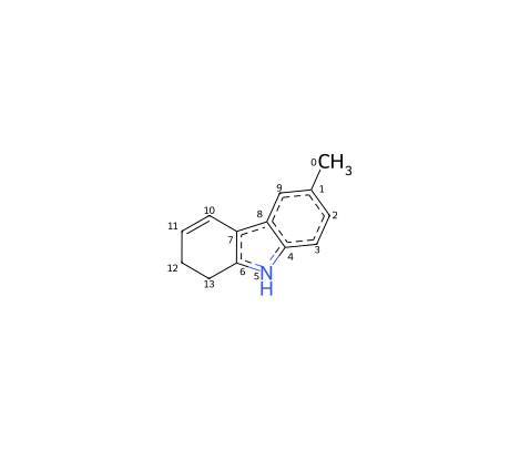 Cc1ccc2[nH]c3c(c2c1)C=CCC3